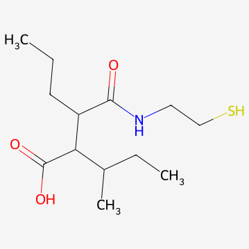 CCCC(C(=O)NCCS)C(C(=O)O)C(C)CC